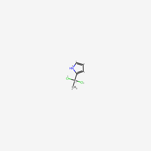 [CH3][Ir]([Cl])([Cl])[c]1ccc[nH]1